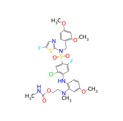 CNC(=O)OCCN(C)c1cc(OC)ccc1Nc1cc(F)c(S(=O)(=O)N(Cc2ccc(OC)cc2OC)c2ncc(F)s2)cc1Cl